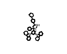 C1=CCCC(c2ccc(C3=CC(c4ccccc4)(c4cc(-n5c6c(c7ccccc75)C=CCC6)cc(-n5c6c(c7ccccc75)C=CCC6)c4)NCN3)cc2)=C1